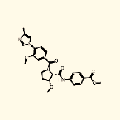 COC(=O)c1ccc(NC(=O)[C@@H]2[C@@H](OC)CCN2C(=O)c2ccc(-n3cnc(C)c3)c(OC)c2)cc1